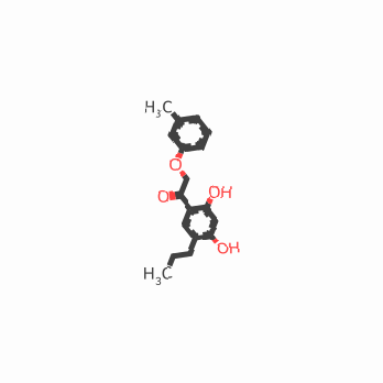 CCCc1cc(C(=O)COc2cccc(C)c2)c(O)cc1O